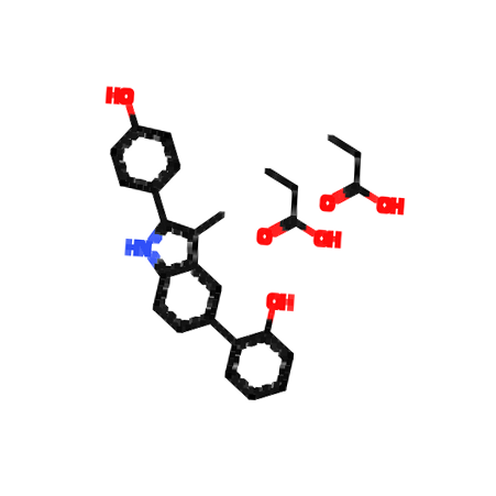 CCC(=O)O.CCC(=O)O.Cc1c(-c2ccc(O)cc2)[nH]c2ccc(-c3ccccc3O)cc12